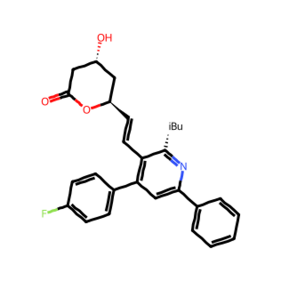 CC[C@@H](C)c1nc(-c2ccccc2)cc(-c2ccc(F)cc2)c1/C=C/[C@@H]1C[C@@H](O)CC(=O)O1